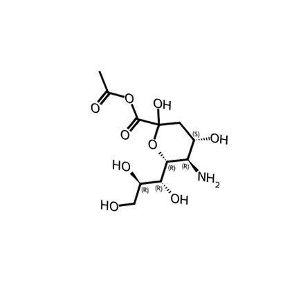 CC(=O)OC(=O)C1(O)C[C@H](O)[C@@H](N)[C@H]([C@H](O)[C@H](O)CO)O1